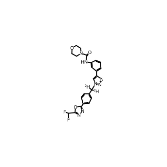 [2H]C([2H])(c1ccc(-c2nnc(C(F)F)o2)cc1)n1cc(-c2cccc(NC(=O)N3CCOCC3)c2)nn1